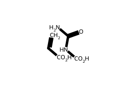 C=CC(=O)O.NC(=O)NC(=O)O